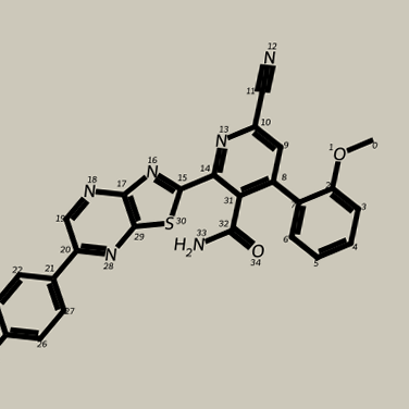 COc1ccccc1-c1cc(C#N)nc(-c2nc3ncc(-c4ccc(Cl)cc4)nc3s2)c1C(N)=O